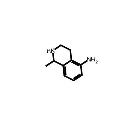 CC1NCCc2c(N)cccc21